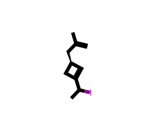 C=C(C)C[C@H]1C=C(C(C)I)C1